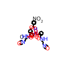 O=C(OC1CC2CCC1C(C(=O)NC(=O)C1C3CCC(CC3OC(=O)c3ccc([N+](=O)[O-])cc3)C1C(=O)NCCCN1CCOCC1)C2C(=O)NCCCN1CCOCC1)c1ccc([N+](=O)[O-])cc1